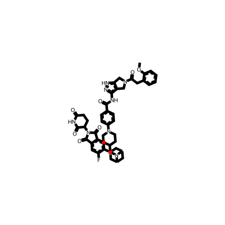 COc1ccccc1CC(=O)N1Cc2[nH]nc(NC(=O)c3ccc(N4CCC(CN5C6CC5CN(c5cc7c(cc5F)C(=O)N(C5CCC(=O)NC5=O)C7=O)C6)CC4)cc3)c2C1